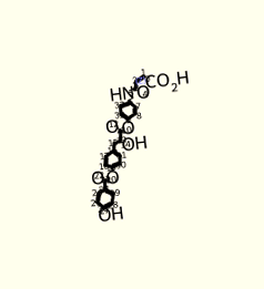 O=C(O)/C=C\C(=O)Nc1ccc(OC(=O)C(O)Cc2ccc(OC(=O)c3ccc(O)cc3)cc2)cc1